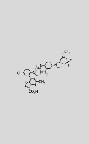 Cc1cc(-c2cc(Cl)ccc2OCCn2c(C)nc3c(c2=O)C[C@H](N2CCC4(CN(CC(F)(F)F)CC(F)(F)C4)C2)CC3)c2scc(C(=O)O)c2n1